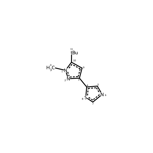 Cn1nc(-c2cncs2)cc1C(C)(C)C